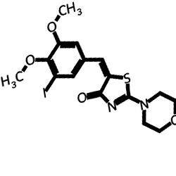 COc1cc(C=C2SC(N3CCOCC3)=NC2=O)cc(I)c1OC